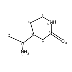 CC(N)C1CCNC(=O)C1